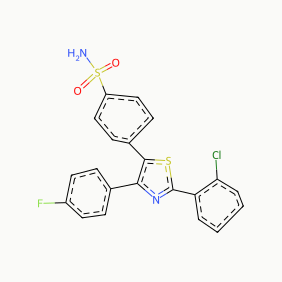 NS(=O)(=O)c1ccc(-c2sc(-c3ccccc3Cl)nc2-c2ccc(F)cc2)cc1